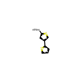 CCCCCCc1cc(-c2cccs2)cs1